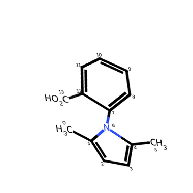 Cc1ccc(C)n1-c1ccccc1C(=O)O